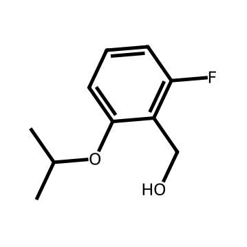 CC(C)Oc1cccc(F)c1CO